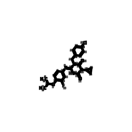 CC(C)Oc1ccc(/N=c2\[nH]c(=O)n(C3CC3)c(=O)n2Cc2ccc(Cl)cc2)cc1F